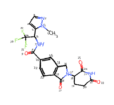 Cn1nccc1C(NC(=O)c1ccc2c(c1)CN(C1CCC(=O)NC1=O)C2=O)C(F)(F)F